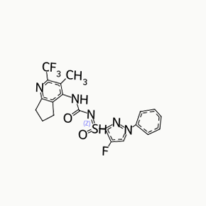 Cc1c(C(F)(F)F)nc2c(c1NC(=O)/N=[SH](=O)/c1nn(-c3ccccc3)cc1F)CCC2